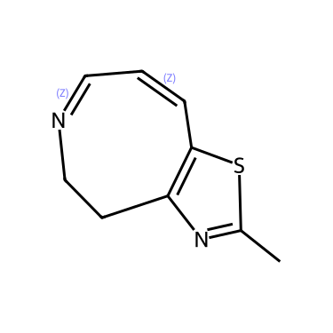 Cc1nc2c(s1)/C=C\C=N/CC2